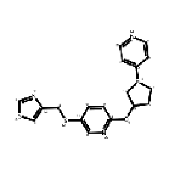 c1cc(N2CCC(Oc3ccc(SCc4cscn4)cn3)C2)ccn1